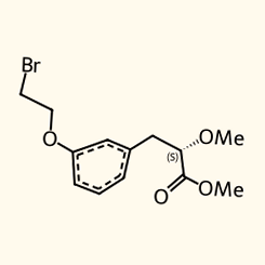 COC(=O)[C@H](Cc1cccc(OCCBr)c1)OC